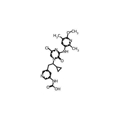 COc1nc(C)c(Nc2nc(Cl)cn(C(Cc3cncc(NC(=O)O)c3)C3CC3)c2=O)cc1C